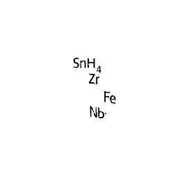 [Fe].[Nb].[SnH4].[Zr]